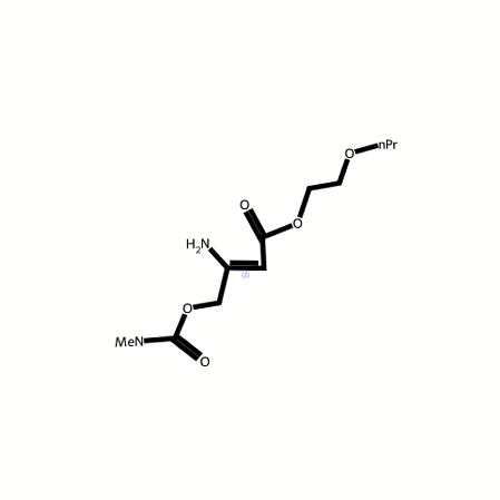 CCCOCCOC(=O)/C=C(\N)COC(=O)NC